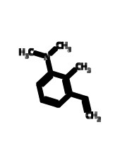 C=Cc1cccc(N(C)C)c1C